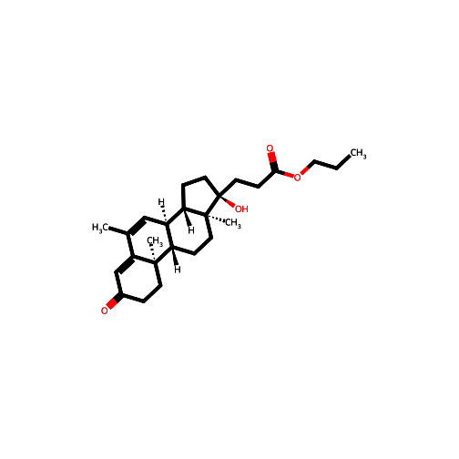 CCCOC(=O)CC[C@@]1(O)CC[C@H]2[C@@H]3C=C(C)C4=CC(=O)CC[C@]4(C)[C@H]3CC[C@@]21C